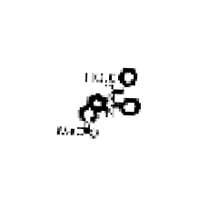 COC(=O)N1CCc2ccc3c(nc(C4CCCCC4)n3[C@@H](C)C[C@H]3CCCC[C@H]3C(=O)O)c2C1